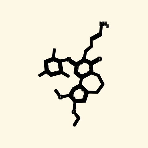 CCOc1cc2c(cc1OC)-c1c/c(=N\c3c(C)cc(C)cc3C)n(CC/C=C/N)c(=O)n1CCC2